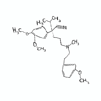 COc1cccc(CCN(C)CCC[C@](C#N)(c2ccc(OC)c(OC)c2)C(C)C)c1